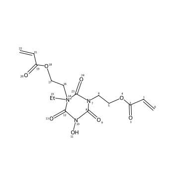 C=CC(=O)OCCN1C(=O)N(O)C(=O)[N+](CC)(CCOC(=O)C=C)C1=O